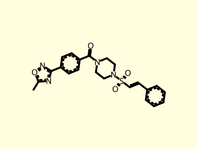 Cc1nc(-c2ccc(C(=O)N3CCN(S(=O)(=O)C=Cc4ccccc4)CC3)cc2)no1